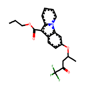 CCCOC(=O)c1c2ccc(OC(C)CC(=O)C(F)(F)F)cc2n2ccccc12